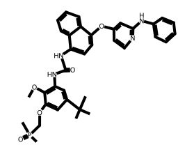 COc1c(NC(=O)Nc2ccc(Oc3ccnc(Nc4ccccc4)c3)c3ccccc23)cc(C(C)(C)C)cc1OCP(C)(C)=O